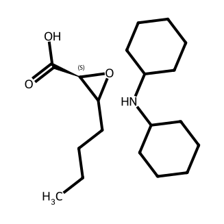 C1CCC(NC2CCCCC2)CC1.CCCCC1O[C@@H]1C(=O)O